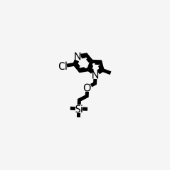 Cc1cc2cnc(Cl)cc2n1COCC[Si](C)(C)C